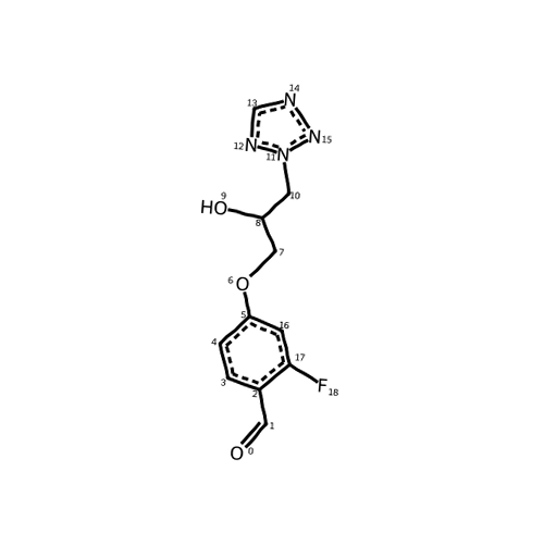 O=Cc1ccc(OCC(O)Cn2ncnn2)cc1F